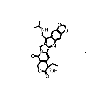 CC[C@@]1(O)C(=O)OCc2c1cc1n(c2=O)Cc2c-1nc1cc3c(cc1c2CNC(C)C)OCO3